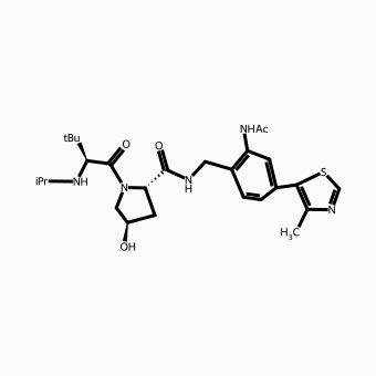 CC(=O)Nc1cc(-c2scnc2C)ccc1CNC(=O)[C@@H]1C[C@@H](O)CN1C(=O)[C@@H](NC(C)C)C(C)(C)C